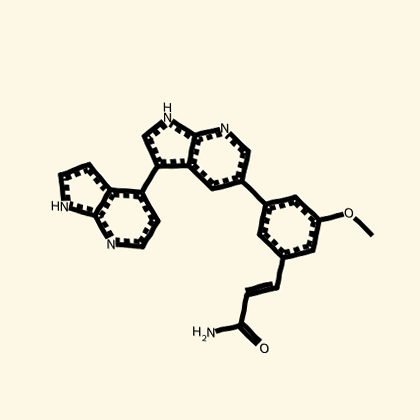 COc1cc(C=CC(N)=O)cc(-c2cnc3[nH]cc(-c4ccnc5[nH]ccc45)c3c2)c1